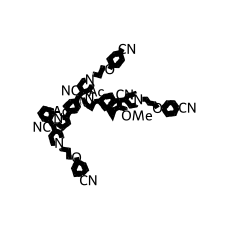 COCC(C1CC1)C(C#N)(c1ccc(C2CC[C@@H](C(C#N)(c3ccc(C4CC[C@H](C(C#N)(c5ccccc5)C5CCN(CCCOc6ccc(C#N)cc6)CC5)N4C(C)=O)cc3)C3CCN(CCCOc4ccc(C#N)cc4)CC3)N2C(C)=O)cc1)C1CCN(CCCOc2ccc(C#N)cc2)CC1